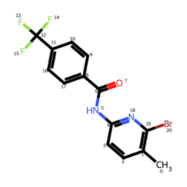 Cc1ccc(NC(=O)c2ccc(C(F)(F)F)cc2)nc1Br